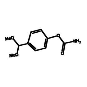 COC(OC)c1ccc(OC(N)=O)cc1